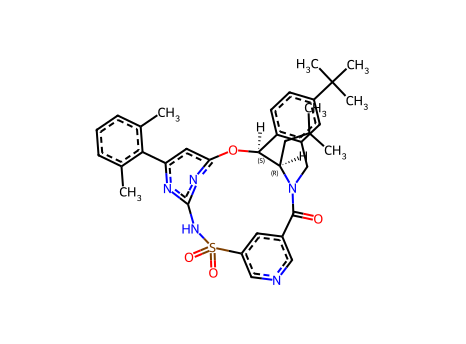 Cc1cccc(C)c1-c1cc2nc(n1)NS(=O)(=O)c1cncc(c1)C(=O)N1Cc3cc(C(C)(C)C)ccc3[C@H](O2)[C@H]1CC(C)C